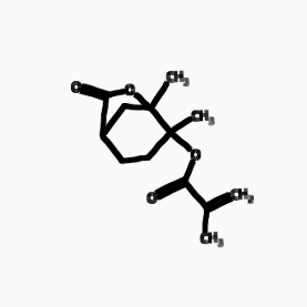 C=C(C)C(=O)OC1(C)CCC2CC1(C)OC2=O